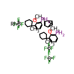 C1=CC2C=CC1C2.COc1c(P)cccc1C1(C)CCCCC1.COc1c(P)cccc1C1(C)CCCCC1.F[B-](F)(F)F.F[B-](F)(F)F.F[B-](F)(F)F.[Rh+3]